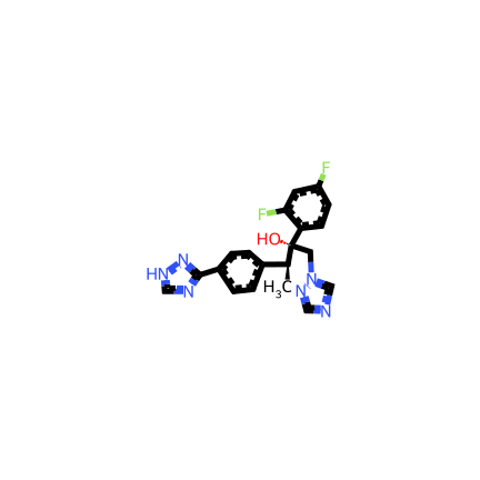 C[C@@H](c1ccc(-c2nc[nH]n2)cc1)[C@](O)(Cn1cncn1)c1ccc(F)cc1F